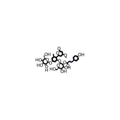 COc1cc(-c2c(C)cc(O[C@@H]3O[C@H](CO)[C@@H](O)[C@H](O)[C@H]3O)cc2O[C@@H]2O[C@H](CO)[C@@H](O)[C@H](O)[C@H]2OC(=O)/C=C/c2ccc(O)cc2)oc(=O)c1